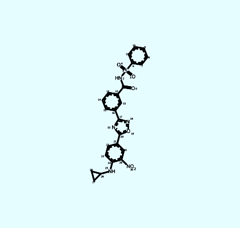 O=C(NS(=O)(=O)c1ccccc1)c1cccc(-c2noc(-c3ccc(NC4CC4)c([N+](=O)[O-])c3)n2)c1